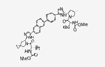 COC(=O)N[C@H](C(=O)N1CC2(CC2)C[C@H]1c1ncc(-c2ccc3cc(-c4ccc(-c5cnc([C@@H]6C[C@H](C)CN6C(=O)[C@@H](NC(=O)OC)C(C)(C)C)[nH]5)cc4)ccc3c2)[nH]1)C(C)C